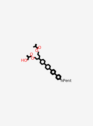 C=C(C)C(=O)OCCCC(CCOC(=O)C(=C)CO)C1CCC(C2CCC(c3ccc(-c4ccc(CCCCC)cc4)cc3)CC2)CC1